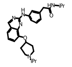 CC(C)NC(=O)Cc1cccc(Nc2ncc3cccc(OC4CCN(C(C)C)CC4)c3n2)c1